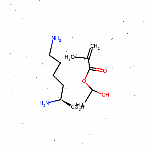 C=C(C)C(=O)OC(C)O.NCCCC[C@H](N)C(=O)O